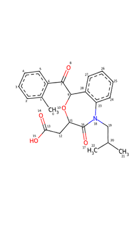 Cc1ccccc1C(=O)C1OC(CC(=O)O)C(=O)N(CC(C)C)c2ccccc21